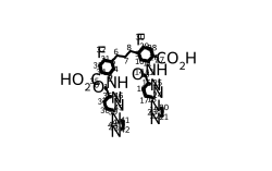 O=C(Nc1cc(CCCc2cc(NC(=O)c3ccc(-n4ccnc4)nn3)c(C(=O)O)cc2F)c(F)cc1C(=O)O)c1ccc(-n2ccnc2)nn1